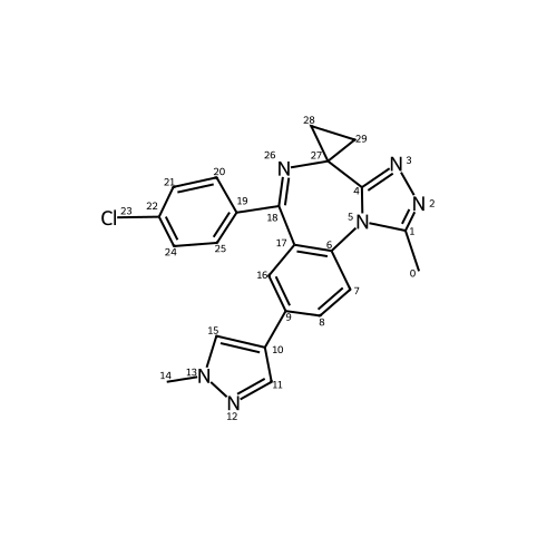 Cc1nnc2n1-c1ccc(-c3cnn(C)c3)cc1C(c1ccc(Cl)cc1)=NC21CC1